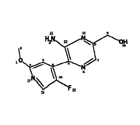 COc1cc(-c2ncc(CO)nc2N)c(F)cn1